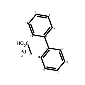 CC(=O)O.[Pd].c1ccc(-c2ccccc2)cc1